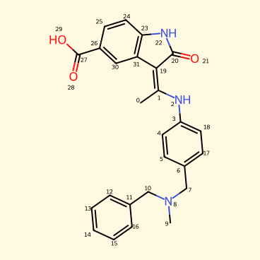 C/C(Nc1ccc(CN(C)Cc2ccccc2)cc1)=C1/C(=O)Nc2ccc(C(=O)O)cc21